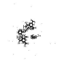 CC(C)c1cc(C(C)C)c(NCCNCc2ncccc2CNc2c(C(C)C)cc(C(C)C)cc2C(C)C)c(C(C)C)c1.[Br-].[Br-].[Co+2]